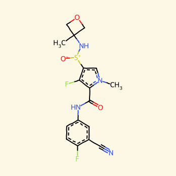 Cn1cc([S+]([O-])NC2(C)COC2)c(F)c1C(=O)Nc1ccc(F)c(C#N)c1